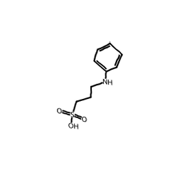 O=S(=O)(O)CCCNc1cc[c]cc1